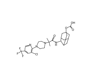 CC(C)(C(=O)NC1C2CC3CC1CC(OC(=O)O)(C3)C2)N1CCN(c2ncc(C(F)(F)F)cc2Cl)CC1